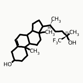 C[C@H](CC[C@](C)(O)C(F)(F)F)C1CCC2C3CC=C4CC(O)CCC4(C)C3CCC21C